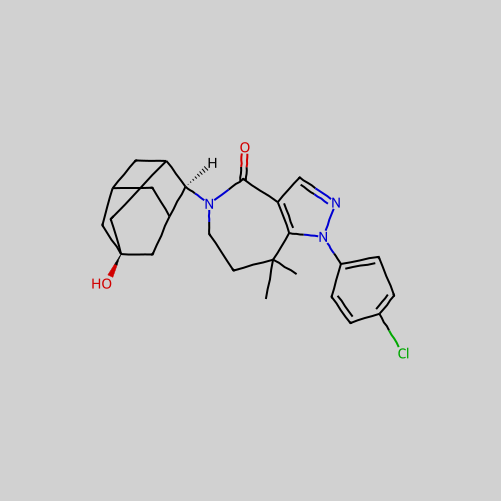 CC1(C)CCN([C@H]2C3CC4CC2C[C@@](O)(C4)C3)C(=O)c2cnn(-c3ccc(Cl)cc3)c21